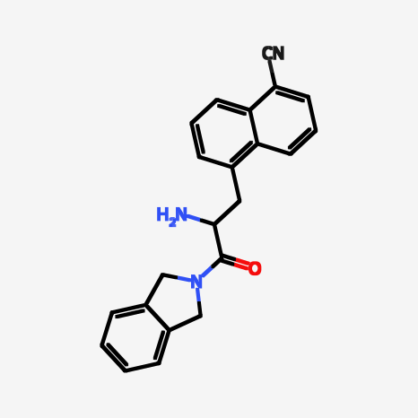 N#Cc1cccc2c(CC(N)C(=O)N3Cc4ccccc4C3)cccc12